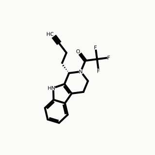 C#CCC[C@H]1c2[nH]c3ccccc3c2CCN1C(=O)C(F)(F)F